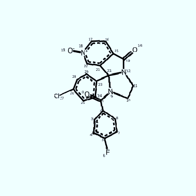 O=C(c1ccc(F)cc1)N1CCN2C(=O)c3cc[n+]([O-])cc3C12c1ccc(Cl)cc1